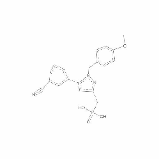 COc1ccc(Cn2nc(CP(=O)(O)O)cc2-c2cccc(C#N)c2)cc1